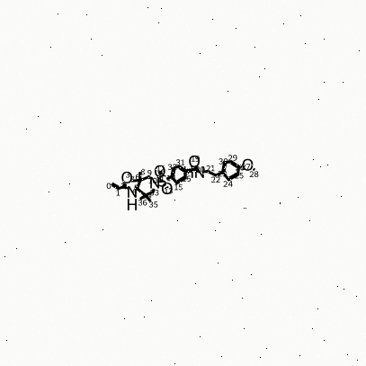 C=CC(=O)NC1C(C)(C)CN(S(=O)(=O)c2ccc(C(=O)NCCc3ccc(OC)cc3)cc2)CC1(C)C